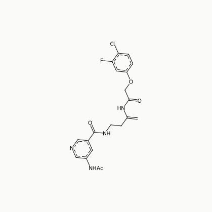 C=C(CCNC(=O)c1cncc(NC(C)=O)c1)NC(=O)COc1ccc(Cl)c(F)c1